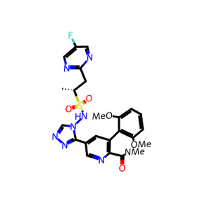 CNC(=O)c1ncc(-c2nncn2NS(=O)(=O)[C@H](C)Cc2ncc(F)cn2)cc1-c1c(OC)cccc1OC